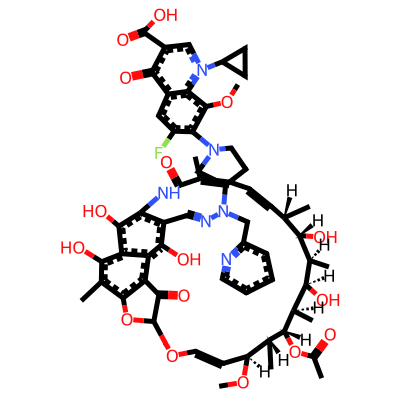 COc1c(N2CCC(N(Cc3ccccn3)/N=C/c3c4c(O)c5c(O)c(C)c6c(c5c3O)C(=O)[C@@](C)(O/C=C/[C@H](OC)[C@@H](C)[C@@H](OC(C)=O)[C@H](C)[C@H](O)[C@H](C)[C@@H](O)[C@@H](C)/C=C/C=C(/C)C(=O)N4)O6)C2)c(F)cc2c(=O)c(C(=O)O)cn(C3CC3)c12